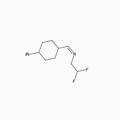 CC(C)C1CCC(/C=N\CC(F)F)CC1